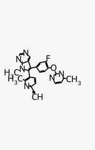 C#Cc1ccc(-c2c(-c3ccc(Oc4nccc(C)n4)c(F)c3)c3cncnc3n2C)c(C)n1